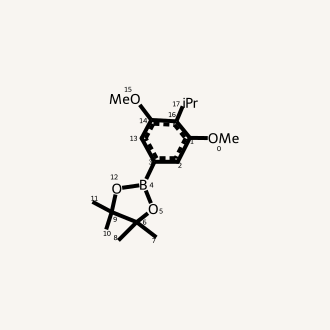 COc1cc(B2OC(C)(C)C(C)(C)O2)cc(OC)c1C(C)C